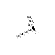 C=C.N.N.N.N.N.N